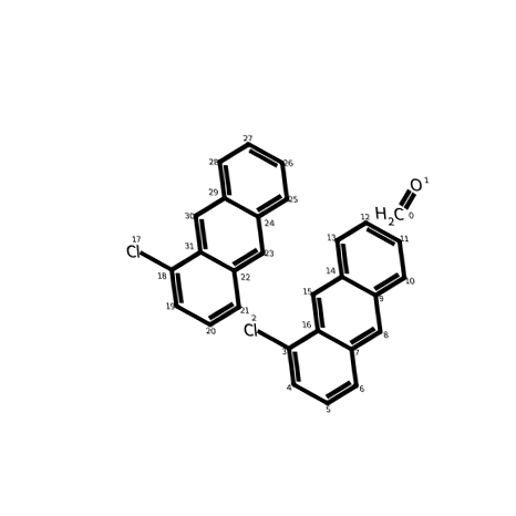 C=O.Clc1cccc2cc3ccccc3cc12.Clc1cccc2cc3ccccc3cc12